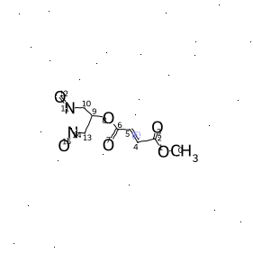 COC(=O)/C=C/C(=O)OC(CN=O)CN=O